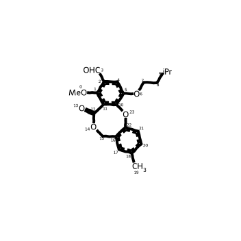 COc1c(C=O)cc(OCCC(C)C)c2c1C(=O)OCc1cc(C)ccc1O2